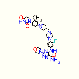 Cc1cc(N2CCC(CN3CCN(c4ccc(Nc5nc(N6CCOCC6)nnc5C(N)=O)cc4F)CC3)CC2)ccc1N1CCC(=O)NC1=O